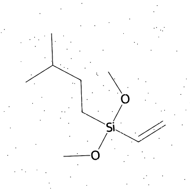 C=C[Si](CCC(C)C)(OC)OC